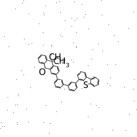 CC1(C)c2ccccc2C(=O)c2cc(-c3cccc(-c4cccc(-c5cccc6c5sc5ccccc56)c4)c3)ccc21